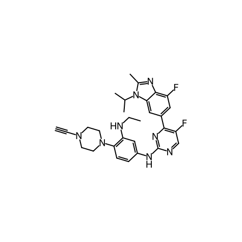 C#CN1CCN(c2ccc(Nc3ncc(F)c(-c4cc(F)c5nc(C)n(C(C)C)c5c4)n3)cc2NCC)CC1